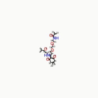 CC(C)C(=O)CCNC(CCOCCOCCNC(=O)C(C)C)=C1C(=O)CC(C)(C)CC1=O